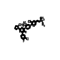 C[C@@H]1CCCN1c1nc(-c2ccc(F)c(Cl)c2)c(F)c(N2CCN(c3ncc(CCN(C)C)cc3Cl)C[C@H]2C)n1